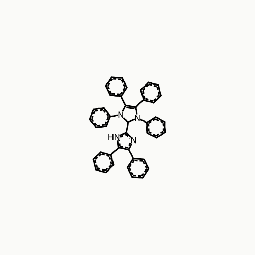 c1ccc(C2=C(c3ccccc3)N(c3ccccc3)C(c3nc(-c4ccccc4)c(-c4ccccc4)[nH]3)N2c2ccccc2)cc1